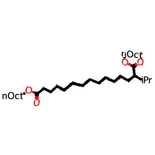 CCCCCCCCOC(=O)CCCCCCCCCCCCC(C(=O)OCCCCCCCC)C(C)C